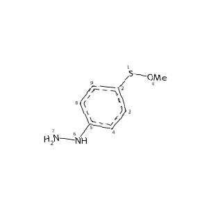 COSc1ccc(NN)cc1